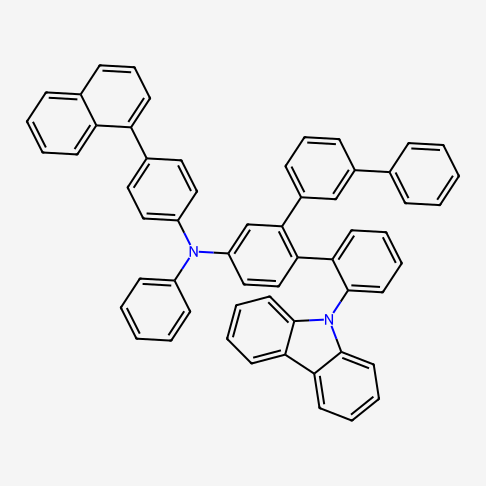 c1ccc(-c2cccc(-c3cc(N(c4ccccc4)c4ccc(-c5cccc6ccccc56)cc4)ccc3-c3ccccc3-n3c4ccccc4c4ccccc43)c2)cc1